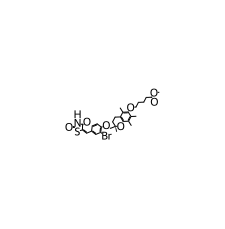 COC(=O)CCCCOc1c(C)c(C)c2c(c1C)CC[C@@](C)(COc1ccc(/C=C3/SC(=O)NC3=O)cc1Br)O2